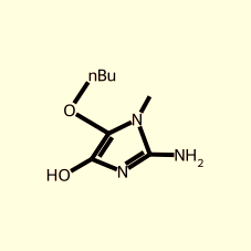 CCCCOc1c(O)nc(N)n1C